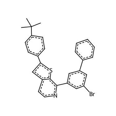 CC(C)(C)c1ccc(-c2cc3ccnc(-c4cc(Br)cc(-c5ccccc5)c4)c3s2)cc1